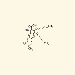 CCCCCCOc1c(OCCCC)c(O)c(C(=O)O)c(OCCCCCC)c1OCCCCCC